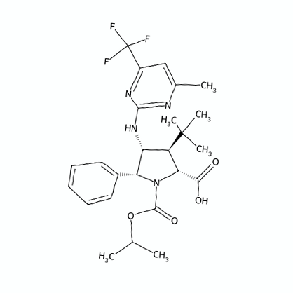 Cc1cc(C(F)(F)F)nc(N[C@@H]2[C@@H](C(C)(C)C)[C@H](C(=O)O)N(C(=O)OC(C)C)[C@@H]2c2ccccc2)n1